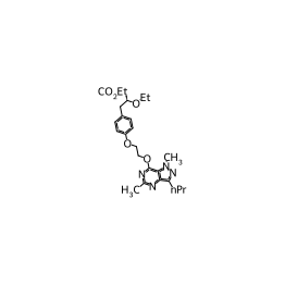 CCCc1nn(C)c2c(OCCOc3ccc(C[C@H](OCC)C(=O)OCC)cc3)nc(C)nc12